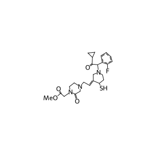 COC(=O)CN1CCN(C/C=C2\CN(C(C(=O)C3CC3)c3ccccc3F)CCC2S)CC1=O